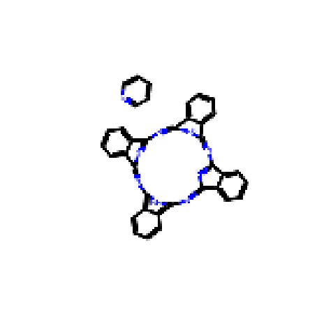 c1ccc2c(c1)-c1nc-2nc2[nH]c(nc3nc(nc4[nH]c(n1)c1ccccc41)-c1ccccc1-3)c1ccccc21.c1ccncc1